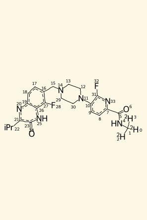 [2H]C([2H])([2H])NC(=O)c1ccc(N2CCN(Cc3ccc4nc(C(C)C)c(=O)[nH]c4c3F)CC2)c(F)n1